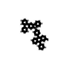 Cc1ccc2c(-c3ccc(-n4c5ccccc5c5cc(-c6ccccc6-c6ccccc6)ccc54)cc3)c3ccccc3c(-c3ccccc3)c2c1